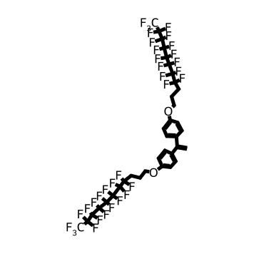 C=C(c1ccc(OCCCC(F)(F)C(F)(F)C(F)(F)C(F)(F)C(F)(F)C(F)(F)C(F)(F)C(F)(F)F)cc1)c1ccc(OCCCC(F)(F)C(F)(F)C(F)(F)C(F)(F)C(F)(F)C(F)(F)C(F)(F)C(F)(F)F)cc1